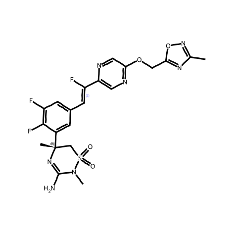 Cc1noc(COc2cnc(/C(F)=C/c3cc(F)c(F)c([C@]4(C)CS(=O)(=O)N(C)C(N)=N4)c3)cn2)n1